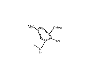 CCN(CC)Cc1cc(OC)cc(OC)c1C#N